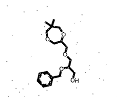 CC1(C)COCC(COCC(CO)OCc2ccccc2)OC1